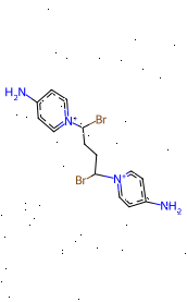 Nc1cc[n+](C(Br)CCC(Br)[n+]2ccc(N)cc2)cc1